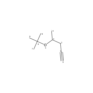 C#CCC([CH2])OC(C)(C)C